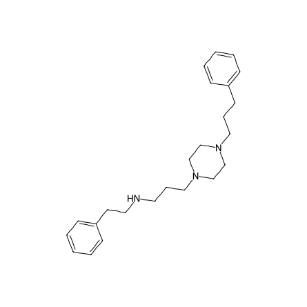 c1ccc(CCCN2CCN(CCCNCCc3ccccc3)CC2)cc1